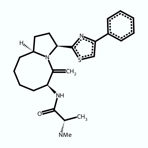 C=C1[C@@H](NC(=O)[C@H](C)NC)CCCC[C@H]2CC[C@@H](c3nc(-c4ccccc4)cs3)N12